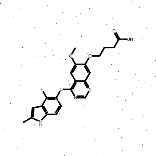 COc1cc2c(Oc3ccc4[nH]c(C)cc4c3F)ncnc2cc1OCCCC(=O)O